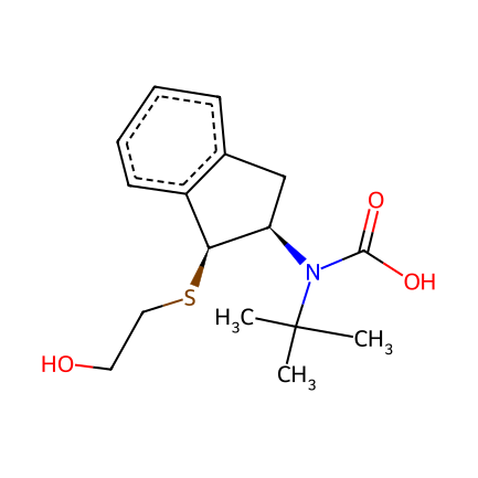 CC(C)(C)N(C(=O)O)[C@@H]1Cc2ccccc2[C@@H]1SCCO